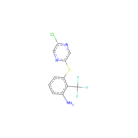 Nc1cccc(Sc2cnc(Cl)cn2)c1C(F)(F)F